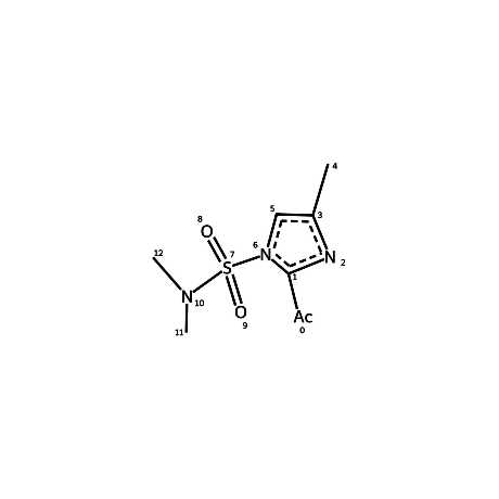 CC(=O)c1nc(C)cn1S(=O)(=O)N(C)C